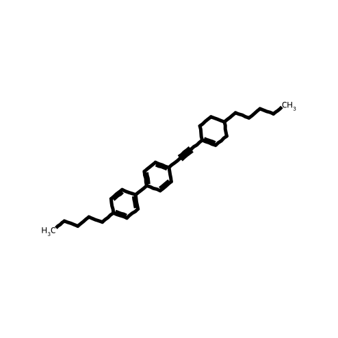 CCCCCc1ccc(-c2ccc(C#CC3=CCC(CCCCC)CC3)cc2)cc1